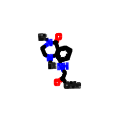 CCN1CCN(CC)c2c(NCC(=O)OC)cccc2C1=O